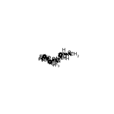 C=CC(=O)NCC(=O)NC1=CC(Nc2ncc(NC(=O)c3cc(NC(=O)c4cccc(C(F)(F)F)c4)ccc3C)cn2)=CCC1